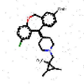 COc1ccc2c(c1)COc1ccc(F)cc1C2=C1CCN(CC2(C(=O)O)C(C)C2C)CC1